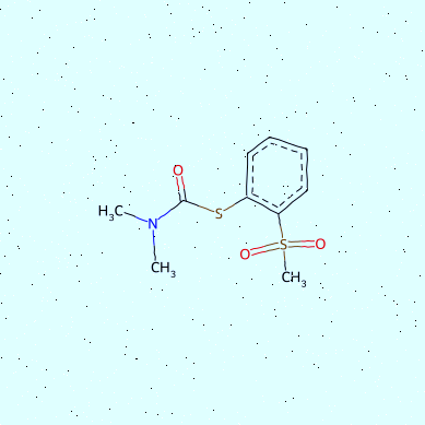 CN(C)C(=O)Sc1ccccc1S(C)(=O)=O